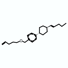 C=CCCCOCc1ccc([C@H]2CC[C@H](/C=C/CCC)CC2)cc1